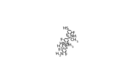 CC(Nc1c(F)cc(S)cc1F)Sc1cc(F)c(NC(C)(C)Sc2cc(F)c(N)c(F)c2)c(F)c1